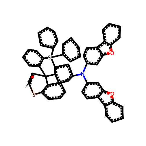 c1ccc([Si]2(c3ccccc3)c3ccccc3C3(c4ccccc4Sc4ccccc43)c3ccc(N(c4ccc5c(c4)oc4ccccc45)c4ccc5c(c4)oc4ccccc45)cc32)cc1